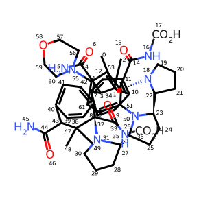 CC1(C)C(C(N)=O)c2ccc(cc2)[C@@]1(C(=O)NC(=O)O)N1CCCC1[C@H]1CC[C@H](C2CCCN2[C@]2(C(=O)NC(=O)O)c3ccc(cc3)C(C(N)=O)C2(C)C)N1c1ccc(N2CCOCC2)cc1